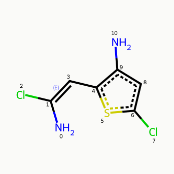 N/C(Cl)=C\c1sc(Cl)cc1N